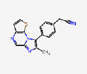 Cc1nc2cnc3ccsc3n2c1-c1ccc(CC#N)cc1